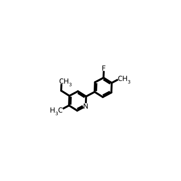 CCc1cc(-c2ccc(C)c(F)c2)ncc1C